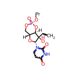 C=C[C@@]1(O)[C@@H]2O[P@@](=O)(OC(C)C)OC[C@H]2O[C@H]1n1ccc(=O)[nH]c1=O